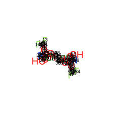 Cc1c(COc2cc(OCc3cc(F)cc(F)c3)c(CN(C)[C@@](C)(CO)C(=O)O)cc2Cl)cccc1-c1cccc(COc2cc(OCc3cc(F)cc(F)c3)c(CN(C)[C@@](C)(CO)C(=O)O)cc2Cl)c1C